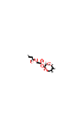 C=CC(=O)OCC(=O)OC1COCCCCO1